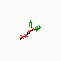 CCC(C)(C)C(=O)OCCOC(=O)/C=C/c1ccc(OCCCC(C)(OCCC(F)(F)C(F)(F)C(F)(F)C(F)(F)F)OCCC(F)(F)C(F)(F)C(F)(F)C(F)(F)F)cc1